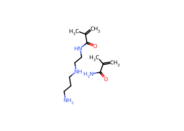 C=C(C)C(=O)NCCNCCCN.C=C(C)C(N)=O